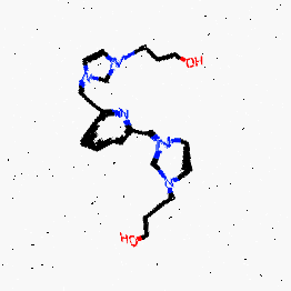 OCCCN1C=CN(Cc2cccc(CN3C=CN(CCCO)C3)n2)C1